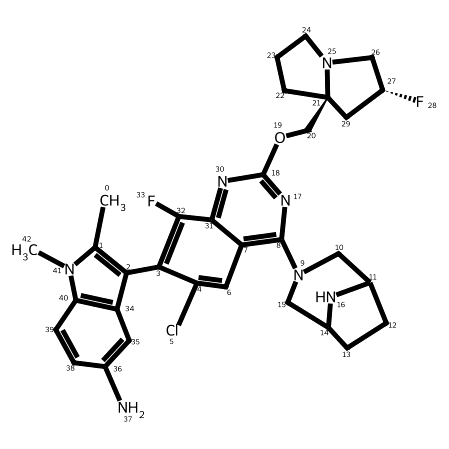 Cc1c(-c2c(Cl)cc3c(N4CC5CCC(C4)N5)nc(OC[C@@]45CCCN4C[C@H](F)C5)nc3c2F)c2cc(N)ccc2n1C